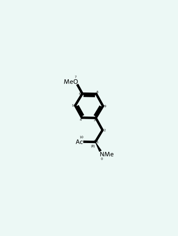 CN[C@H](Cc1ccc(OC)cc1)C(C)=O